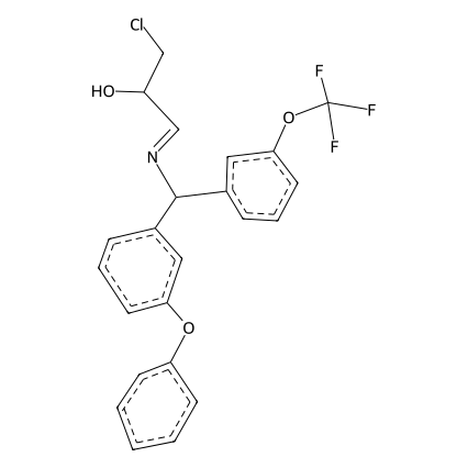 OC(C=NC(c1cccc(Oc2ccccc2)c1)c1cccc(OC(F)(F)F)c1)CCl